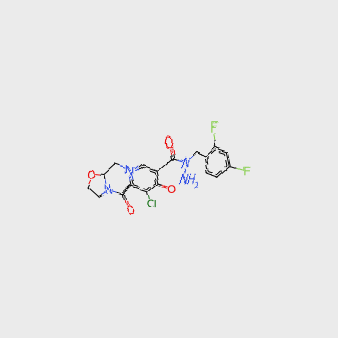 NN(Cc1ccc(F)cc1F)C(=O)c1cn2c(c(Cl)c1=O)C(=O)N1CCOC1C2